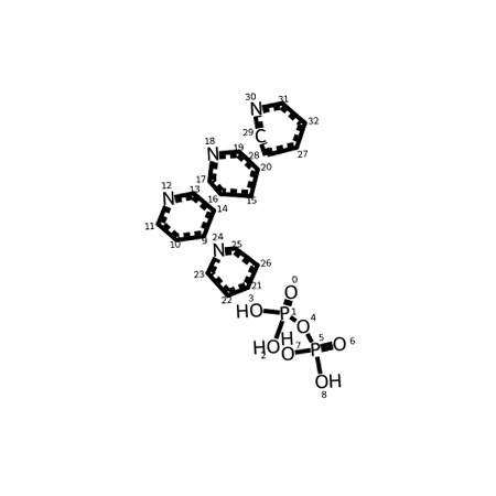 O=P(O)(O)OP(=O)(O)O.c1ccncc1.c1ccncc1.c1ccncc1.c1ccncc1